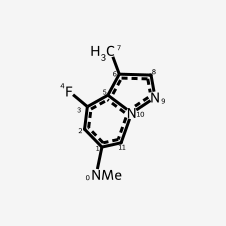 CNc1cc(F)c2c(C)cnn2c1